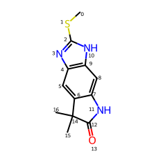 CSc1nc2cc3c(cc2[nH]1)NC(=O)C3(C)C